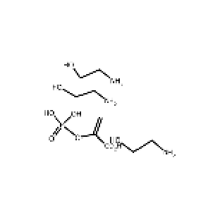 C=C(OP(=O)(O)O)C(=O)O.NCCO.NCCO.NCCO